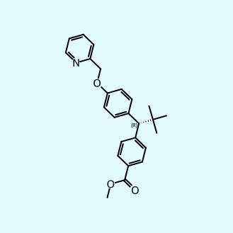 COC(=O)c1ccc([C@H](c2ccc(OCc3ccccn3)cc2)C(C)(C)C)cc1